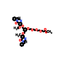 COC(=O)CCOCCOCCOCCOc1cc(COc2cc3c(cc2C)C(=O)N2c4ccccc4C[C@H]2C=N3)cc(COc2cc3c(cc2OC)C(=O)N2c4ccccc4C[C@H]2C=N3)c1